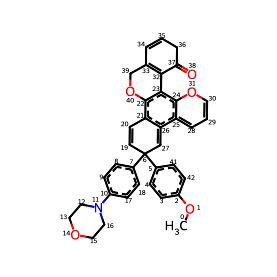 COc1ccc(C2(c3ccc(N4CCOCC4)cc3)C=Cc3c4c(c5c(c3=C2)=CC=CO5)C2=C(C=CCC2=O)CO4)cc1